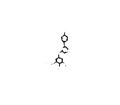 COc1cc(Nc2cncc(-c3ccc(O)cc3)n2)cc(OC)c1OC